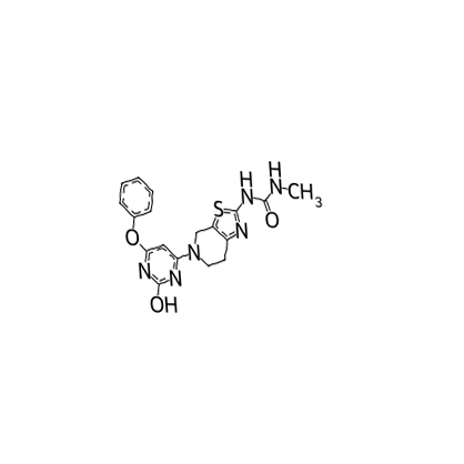 CNC(=O)Nc1nc2c(s1)CN(c1cc(Oc3ccccc3)nc(O)n1)CC2